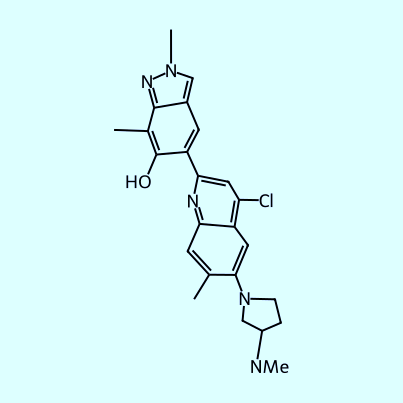 CNC1CCN(c2cc3c(Cl)cc(-c4cc5cn(C)nc5c(C)c4O)nc3cc2C)C1